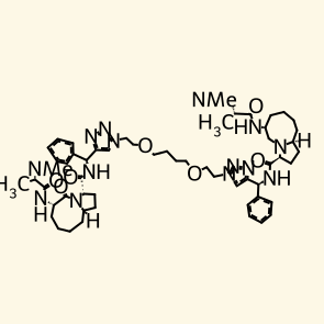 CN[C@@H](C)C(=O)N[C@H]1CCCC[C@H]2CC[C@@H](C(=O)N[C@@H](c3ccccc3)c3cn(CCOCCCCOCCn4cc([C@@H](NC(=O)[C@@H]5CC[C@@H]6CCCC[C@H](NC(=O)[C@H](C)NC)C(=O)N65)c5ccccc5)nn4)nn3)N2C1